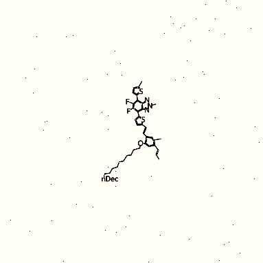 C/C=C/c1cc(OCCCCCCCCCCCCCCCCCCCC)c(/C=C/c2ccc(-c3c(F)c(F)c(-c4ccc(C)s4)c4nn(C)nc34)s2)cc1C